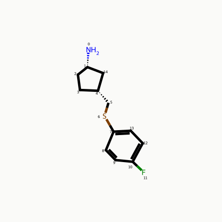 N[C@H]1CC[C@@H](CSc2ccc(F)cc2)C1